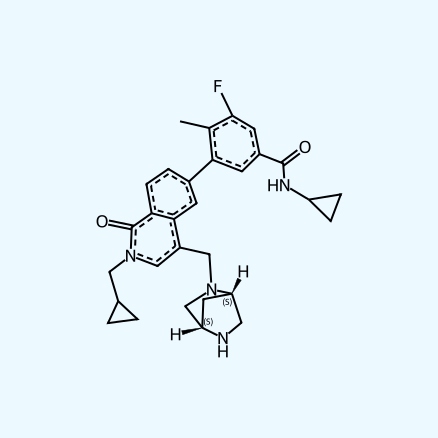 Cc1c(F)cc(C(=O)NC2CC2)cc1-c1ccc2c(=O)n(CC3CC3)cc(CN3C[C@@H]4C[C@H]3CN4)c2c1